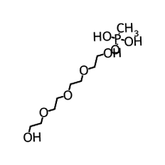 CP(=O)(O)O.OCCOCCOCCOCCO